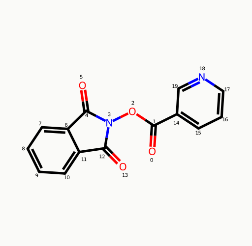 O=C(ON1C(=O)c2ccccc2C1=O)c1cccnc1